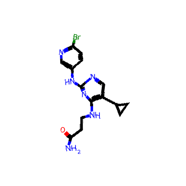 NC(=O)CCNc1nc(Nc2ccc(Br)nc2)ncc1C1CC1